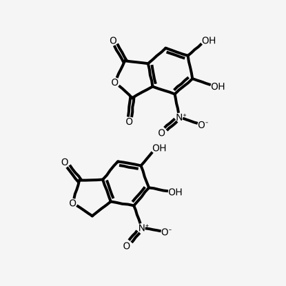 O=C1OC(=O)c2c1cc(O)c(O)c2[N+](=O)[O-].O=C1OCc2c1cc(O)c(O)c2[N+](=O)[O-]